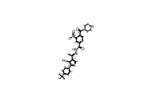 C/C(=N\NC(=O)c1ccc(C(=O)N2CCNCC2)c([N+](=O)[O-])c1)c1csc(-c2ccc(C(C)(C)C)cc2)c1O